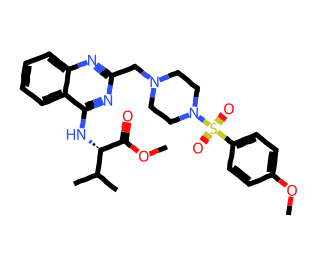 COC(=O)[C@@H](Nc1nc(CN2CCN(S(=O)(=O)c3ccc(OC)cc3)CC2)nc2ccccc12)C(C)C